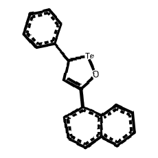 C1=C(c2cccc3ccccc23)O[Te]C1c1ccccc1